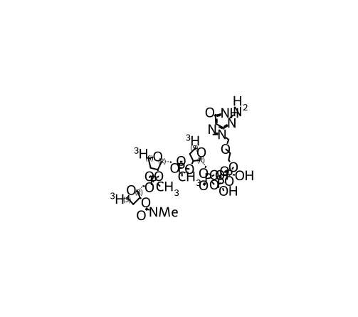 [3H][C@H]1CC(OC(=O)NC)[C@@H](COP(C)(=O)OC2C[C@H]([3H])O[C@@H]2COP(C)(=O)OC2C[C@H]([3H])O[C@@H]2COP(=O)(O)OP(=O)(O)OP(=O)(O)OCCOCn2cnc3c(=O)[nH]c(N)nc32)O1